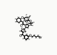 C[C@@H](C(=O)N[C@H](C(=O)N1CCC[C@H]1c1nc(C(=O)c2cccc(OCCCCBr)c2)cs1)C1CCCCC1)N(C)C(=O)OC(C)(C)C